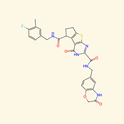 Cc1cc(CNC(=O)C2CCc3sc4nc(C(=O)NCc5ccc6c(c5)NC(=O)CO6)[nH]c(=O)c4c32)ccc1F